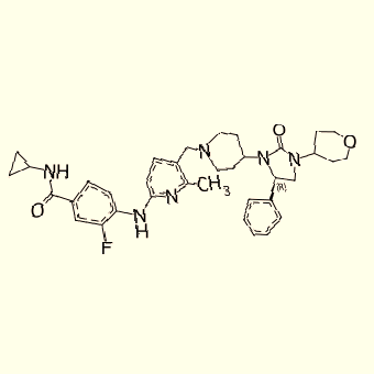 Cc1nc(Nc2ccc(C(=O)NC3CC3)cc2F)ccc1CN1CCC(N2C(=O)N(C3CCOCC3)C[C@H]2c2ccccc2)CC1